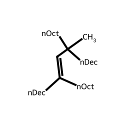 CCCCCCCCCCC(=CC(C)(CCCCCCCC)CCCCCCCCCC)CCCCCCCC